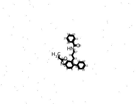 CCc1nc2ccc(-c3ccccc3)c(CCCNC(=O)c3ccccc3)c2o1